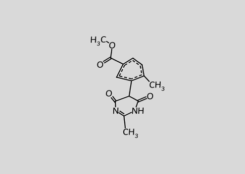 COC(=O)c1ccc(C)c(C2C(=O)N=C(C)NC2=O)c1